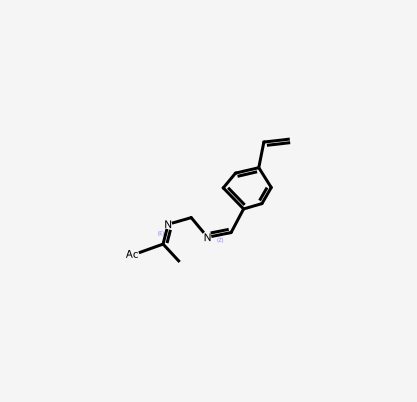 C=Cc1ccc(/C=N\C/N=C(\C)C(C)=O)cc1